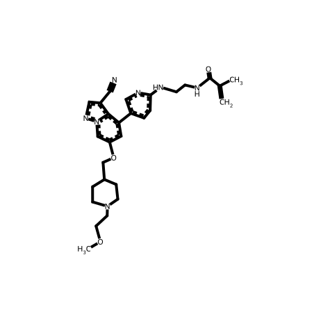 C=C(C)C(=O)NCCNc1ccc(-c2cc(OCC3CCN(CCOC)CC3)cn3ncc(C#N)c23)cn1